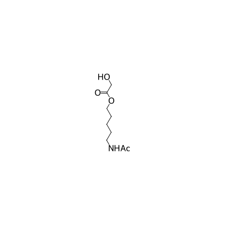 CC(=O)NCCCCCOC(=O)CO